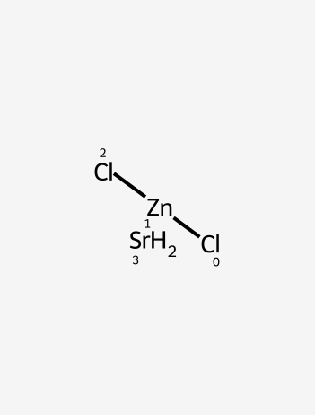 [Cl][Zn][Cl].[SrH2]